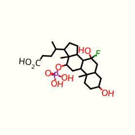 CC(CCC(=O)O)C1CCC2C3C(CC(OP(=O)(O)O)C12C)C1(C)CCC(O)CC1CC3(O)F